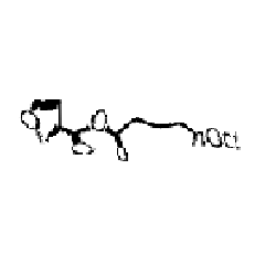 CCCCCCCCCCCC(=O)OC(=O)c1ccon1